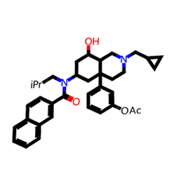 CC(=O)Oc1cccc(C23CCN(CC4CC4)CC2C(O)CC(N(CC(C)C)C(=O)c2ccc4ccccc4c2)C3)c1